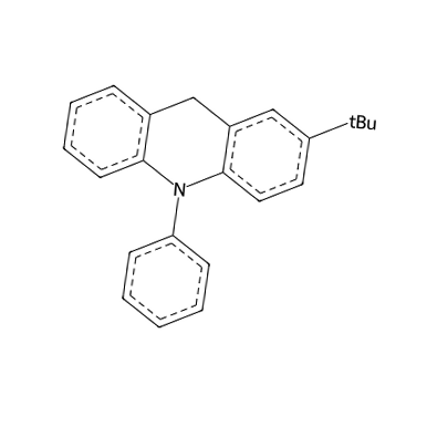 CC(C)(C)c1ccc2c(c1)Cc1ccccc1N2c1ccccc1